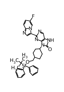 CC(C)(C)[Si](OCC1CCC(n2c(=O)[nH]c3cnc(-c4cnc5ccc(F)cn45)nc32)CC1)(c1ccccc1)c1ccccc1